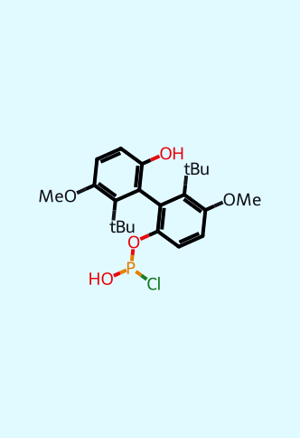 COc1ccc(O)c(-c2c(OP(O)Cl)ccc(OC)c2C(C)(C)C)c1C(C)(C)C